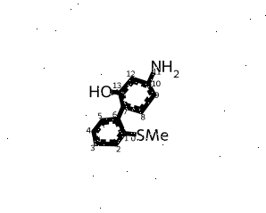 CSc1ccccc1-c1ccc(N)cc1O